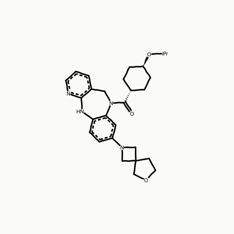 CC(C)O[C@H]1CC[C@H](C(=O)N2Cc3cccnc3Nc3ccc(N4CC5(CCOC5)C4)cc32)CC1